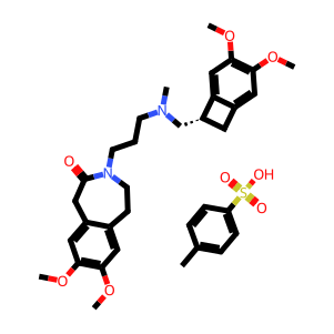 COc1cc2c(cc1OC)CC(=O)N(CCCN(C)C[C@H]1Cc3cc(OC)c(OC)cc31)CC2.Cc1ccc(S(=O)(=O)O)cc1